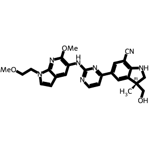 COCCn1ccc2cc(Nc3nccc(-c4cc(C#N)c5c(c4)[C@@](C)(CO)CN5)n3)c(OC)nc21